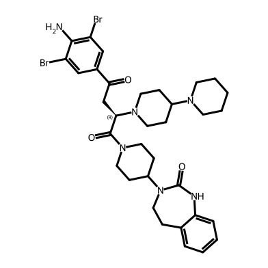 Nc1c(Br)cc(C(=O)C[C@H](C(=O)N2CCC(N3CCc4ccccc4NC3=O)CC2)N2CCC(N3CCCCC3)CC2)cc1Br